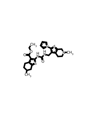 CCOC(=O)c1c(NC(=O)NCc2c(-n3cccc3)sc3c2CCN(C)C3)sc2c1CCC(C)C2